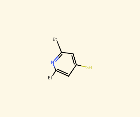 CCc1cc(S)cc(CC)n1